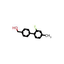 Cc1ccc(-c2ccc(CO)cc2)c(F)c1